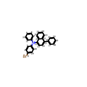 Brc1ccc(N(c2ccccc2)c2ccc(-c3ccccc3)c3ccccc23)cc1